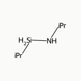 CC(C)N[SiH2]C(C)C